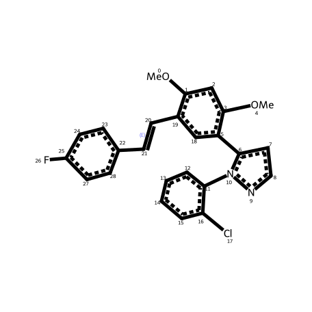 COc1cc(OC)c(-c2ccnn2-c2ccccc2Cl)cc1/C=C/c1ccc(F)cc1